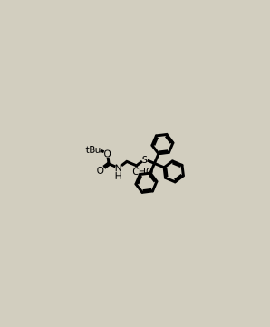 CC(C)(C)OC(=O)NCC(C=O)SC(c1ccccc1)(c1ccccc1)c1ccccc1